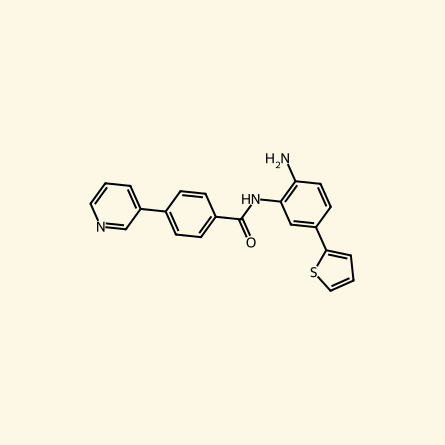 Nc1ccc(-c2cccs2)cc1NC(=O)c1ccc(-c2cccnc2)cc1